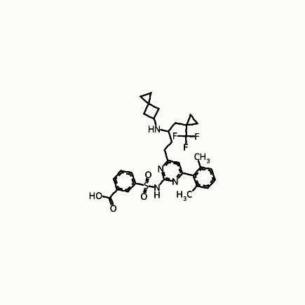 Cc1cccc(C)c1-c1cc(CCC(CC2(C(F)(F)F)CC2)NC2CC3(CC3)C2)nc(NS(=O)(=O)c2cccc(C(=O)O)c2)n1